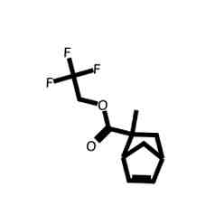 CC1(C(=O)OCC(F)(F)F)CC2C=CC1C2